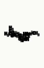 CCC[AsH]c1ccc(Nc2cc(OC3CCN(C(=O)OC(C)C)CC3)ncn2)c(F)c1